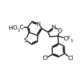 O=C(O)c1cnc(C2=NOC(c3cc(Cl)cc(Cl)c3)(C(F)(F)F)C2)c2ccsc12